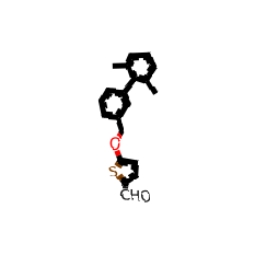 Cc1cccc(C)c1-c1cccc(COc2ccc(C=O)s2)c1